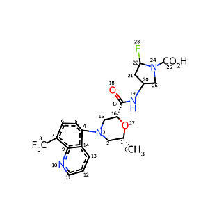 C[C@@H]1CN(c2ccc(C(F)(F)F)c3ncccc23)C[C@H](C(=O)NC2CC(F)N(C(=O)O)C2)O1